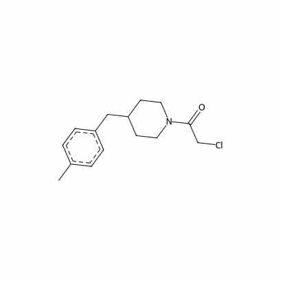 Cc1ccc(CC2CCN(C(=O)CCl)CC2)cc1